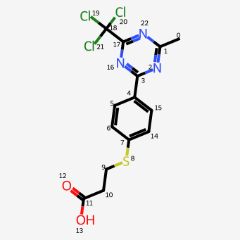 Cc1nc(-c2ccc(SCCC(=O)O)cc2)nc(C(Cl)(Cl)Cl)n1